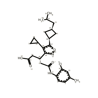 Cc1ccc(NC(=O)C[C@H](CC(=O)O)c2noc([C@H]3C[C@@H](CC(C)C)C3)c2C2CC2)c(Cl)c1